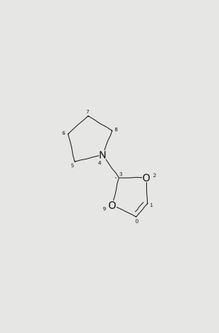 C1=CO[C](N2CCCC2)O1